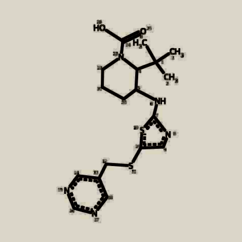 CC(C)(C)C1C(Nc2ncc(SCc3cncnc3)s2)CCCN1C(=O)O